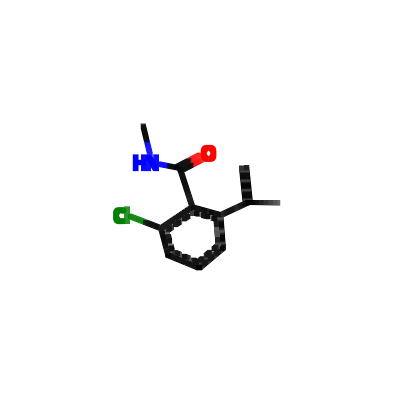 C=C(C)c1cccc(Cl)c1C(=O)NC